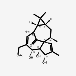 CC(=O)OCC1=C[C@@H]2C(=O)[C@]3(C=C(C)[C@H](O)[C@@]3(O)[C@@H]1O)[C@H](C)C[C@@H]1[C@H]2C1(C)C